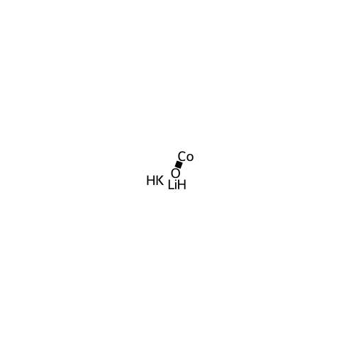 [KH].[LiH].[O]=[Co]